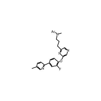 CC(=O)N(C)CCCc1cncc(Oc2ccc(-c3ccc(C)cn3)cc2F)n1